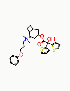 C[N+](C)(CCCOc1ccccc1)C1CC(OC(=O)C(O)(c2cccs2)c2cccs2)CC2CCC21